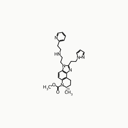 COC(=O)N1c2ccc3c(nc(CCn4cccn4)n3CCNCCc3ccccn3)c2CC[C@@H]1C